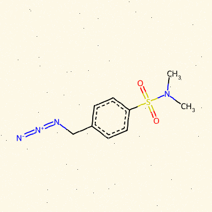 CN(C)S(=O)(=O)c1ccc(CN=[N+]=[N-])cc1